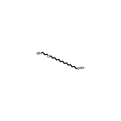 CSCCCCCCCCCCCCCCOCCCC(C)(C)C